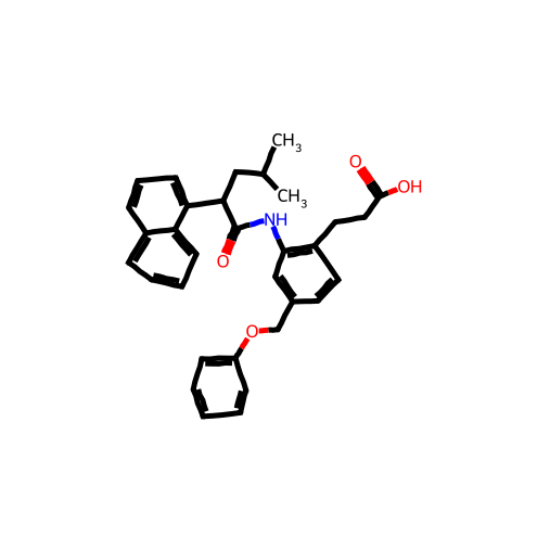 CC(C)CC(C(=O)Nc1cc(COc2ccccc2)ccc1CCC(=O)O)c1cccc2ccccc12